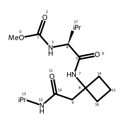 COC(=O)N[C@H](C(=O)NC1(CC(=O)NC(C)C)CCC1)C(C)C